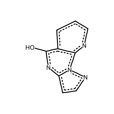 Oc1nc2ccnn2c2ncccc12